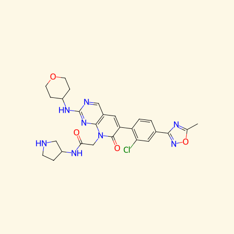 Cc1nc(-c2ccc(-c3cc4cnc(NC5CCOCC5)nc4n(CC(=O)NC4CCNC4)c3=O)c(Cl)c2)no1